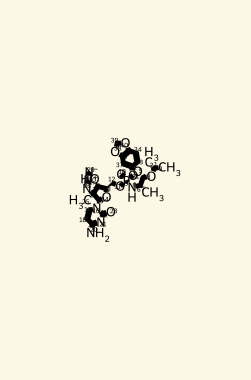 CC(C)OC(=O)[C@H](C)NP(=O)(OC[C@H]1O[C@@H](n2ccc(N)nc2=O)[C@](C)(N=[N+]=[N-])[C@@H]1O)Oc1ccc2c(c1)OCO2